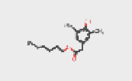 Cc1cc(CC(=O)OCCCCCC(C)C)cc(C(C)(C)C)c1O